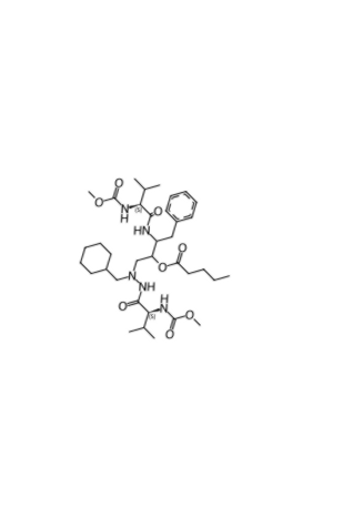 CCCCC(=O)OC(CN(CC1CCCCC1)NC(=O)[C@@H](NC(=O)OC)C(C)C)C(Cc1ccccc1)NC(=O)[C@@H](NC(=O)OC)C(C)C